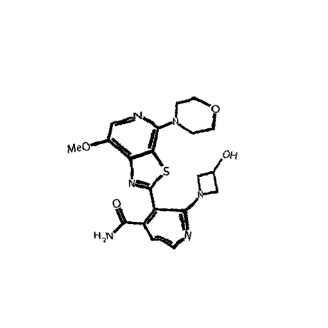 COc1cnc(N2CCOCC2)c2sc(-c3c(C(N)=O)ccnc3N3CC(O)C3)nc12